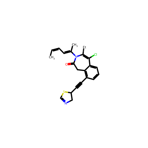 C/C=C\C=C(/C)N1C(=O)Cc2c(C#CC3CN=CS3)cccc2C(Cl)=C1CC